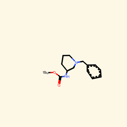 CC(C)(C)OC(=O)NC1CCCN(Cc2ccccc2)C1